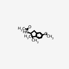 COc1ccc2c(c1)CC(NC(C)=O)C2(C)C